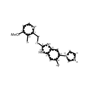 COc1ccnc(CSc2nc3cc(-n4ccnc4)c(F)cc3[nH]2)c1C